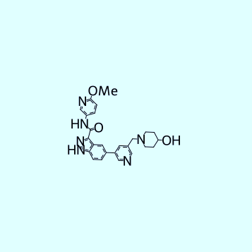 COc1ccc(NC(=O)c2n[nH]c3ccc(-c4cncc(CN5CCC(O)CC5)c4)cc23)cn1